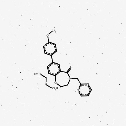 O=C1c2cc(-c3ccc(OC(F)(F)F)cc3)ccc2OCCN1Cc1ncccn1.O=S(=O)(O)CCS(=O)(=O)O